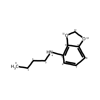 CCCCNc1cccc2c1OCO2